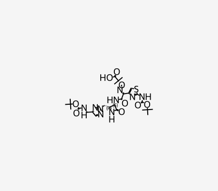 CC(C)(C)OC(=O)NCc1cnn(C[C@H]2NC(=O)[C@H]2NC(=O)C(=NOC(C)(C)C(=O)O)c2csc(NC(=O)OC(C)(C)C)n2)n1